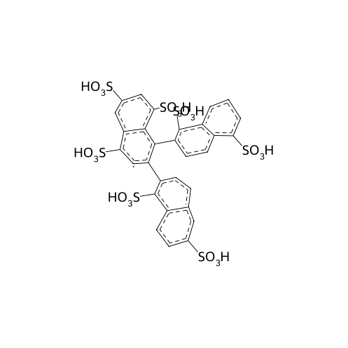 O=S(=O)(O)c1ccc2c(S(=O)(=O)O)c(-c3[c]c(S(=O)(=O)O)c4cc(S(=O)(=O)O)cc(S(=O)(=O)O)c4c3-c3ccc4c(S(=O)(=O)O)cccc4c3S(=O)(=O)O)ccc2c1